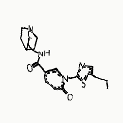 CCc1cnc(-n2cc(C(=O)NC3CN4CCC3CC4)ccc2=O)s1